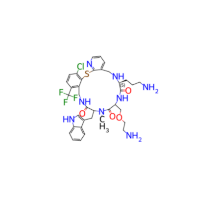 CN1C(=O)C(COCCN)NC(=O)[C@H](CCCN)NCc2cccnc2Sc2c(Cl)ccc(C(F)(F)F)c2CNC(=O)C1Cc1c[nH]c2ccccc12